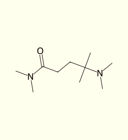 CN(C)C(=O)CCC(C)(C)N(C)C